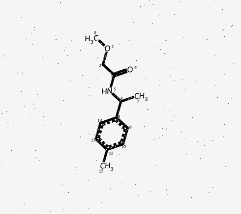 COCC(=O)NC(C)c1ccc(C)cc1